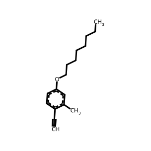 C#Cc1ccc(OCCCCCCCC)cc1C